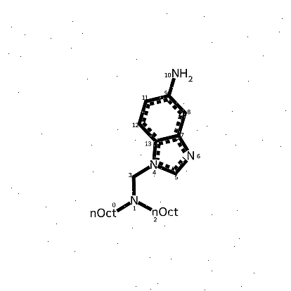 CCCCCCCCN(CCCCCCCC)Cn1cnc2cc(N)ccc21